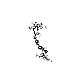 C=C(CCCC(C)c1ncc(-c2cc3sc(-c4ccc5nc(C6C=CCN6C(=O)[C@@H](NC(=O)OC)C(C)C)[nH]c5c4)cc3s2)[nH]1)CC(=O)[C@@H](NC(=O)OC)C(C)C